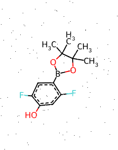 CC1(C)OB(c2cc(F)c(O)cc2F)OC1(C)C